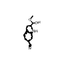 COC(O)c1cc2ccc(C#N)cc2[nH]1